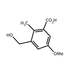 COc1cc(CO)c(C)c(C(=O)O)c1